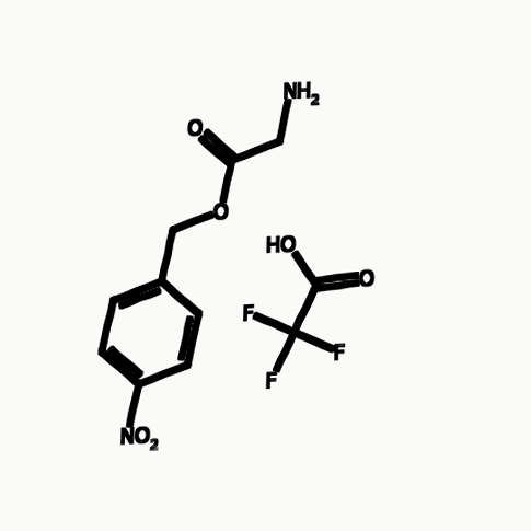 NCC(=O)OCc1ccc([N+](=O)[O-])cc1.O=C(O)C(F)(F)F